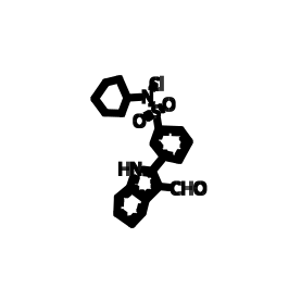 O=Cc1c(-c2cccc(S(=O)(=O)N(Cl)C3CCCCC3)c2)[nH]c2ccccc12